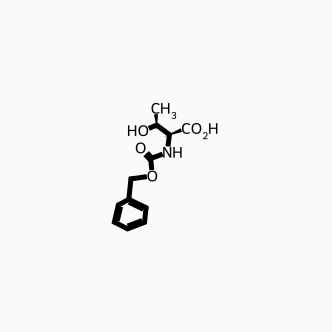 C[C@H](O)[C@H](NC(=O)OCc1ccccc1)C(=O)O